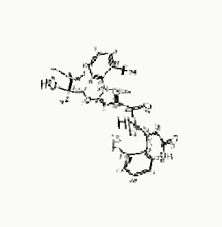 CC(C)[C@](C)(O)COc1cc(C(=O)N[C@@H](CC(=O)O)c2ccccc2F)nn1-c1ccccc1F